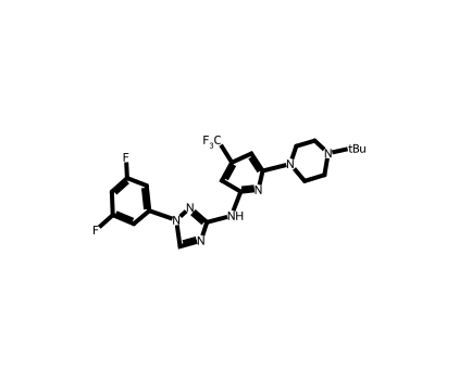 CC(C)(C)N1CCN(c2cc(C(F)(F)F)cc(Nc3ncn(-c4cc(F)cc(F)c4)n3)n2)CC1